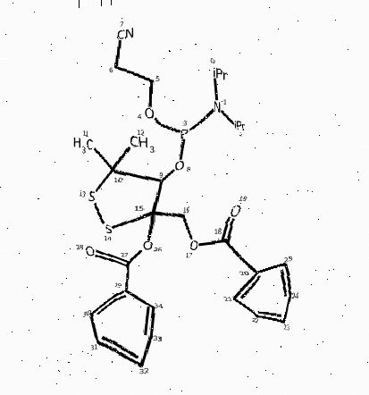 CC(C)N(C(C)C)P(OCCC#N)OC1C(C)(C)SSC1(COC(=O)c1ccccc1)OC(=O)c1ccccc1